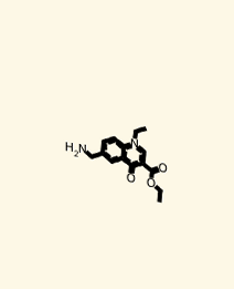 CCOC(=O)c1cn(CC)c2ccc(CN)cc2c1=O